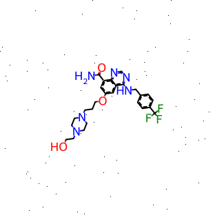 NC(=O)c1cc(OCCCN2CCN(CCO)CC2)cc2c(NCc3ccc(C(F)(F)F)cc3)ncnc12